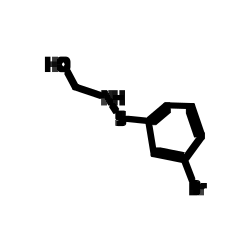 OCNSc1cccc(Br)c1